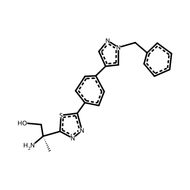 C[C@](N)(CO)c1nnc(-c2ccc(-c3cnn(Cc4ccccc4)c3)cc2)s1